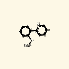 CC(C)(C)Sc1ccccc1-c1ccccn1